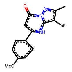 CCCc1c(C)nn2c(=O)cc(-c3ccc(OC)cc3)[nH]c12